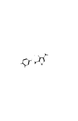 Cn1cc(C(=O)C(=O)O)c(Cl)c1C(=O)Nc1ccc(F)c(Cl)c1